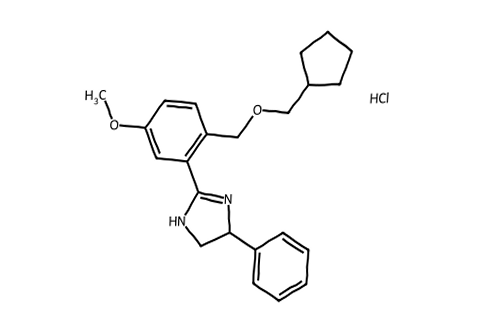 COc1ccc(COCC2CCCC2)c(C2=NC(c3ccccc3)CN2)c1.Cl